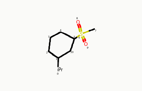 CC(C)C1CCCC(S(C)(=O)=O)C1